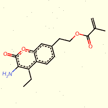 C=C(C)C(=O)OCCc1ccc2c(CC)c(N)c(=O)oc2c1